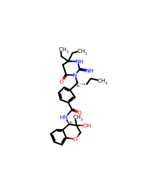 CCC[C@H](c1cccc(C(=O)N[C@@H]2c3ccccc3OCC2(C)O)c1)N1C(=N)NC(CC)(CC)CC1=O